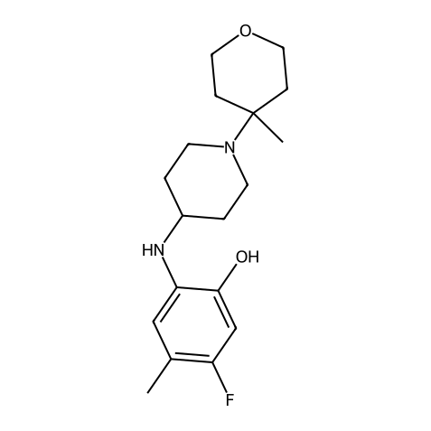 Cc1cc(NC2CCN(C3(C)CCOCC3)CC2)c(O)cc1F